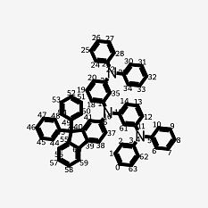 c1ccc(N(c2ccccc2)c2cccc(N(c3cccc(N(c4ccccc4)c4ccccc4)c3)c3ccc4c(c3)C(c3ccccc3)(c3ccccc3)c3ccccc3-4)c2)cc1